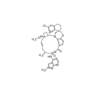 CO[C@H]1/C=C/C[C@H](C)C[S@@](=O)(Nc2ncnc3nn(C)cc23)=NC(=O)c2ccc3c(c2)N(C[C@@H]2CC[C@H]21)C[C@@]1(CCCc2cc(Cl)ccc21)CO3